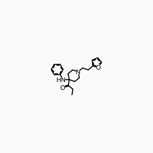 CCC(=O)C1(Nc2ccccc2)CCN(CCc2ccco2)CC1